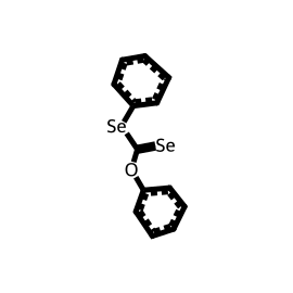 [Se]=C(Oc1ccccc1)[Se]c1ccccc1